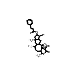 C=C1C2CC3C(C(C)C)C(OC(=O)C=Cc4ccccc4)CC3(C)CC2C(C)=CCC2C(C)OC(=O)C(O)C12O